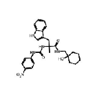 CC(Cc1c[nH]c2ccccc12)(NC(=O)Nc1ccc([N+](=O)[O-])cc1)C(=O)NCC1(O)CCCCC1